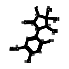 COc1cc(N2C(=O)N(C)C(O)(C#N)C2C#N)c(F)cc1Cl